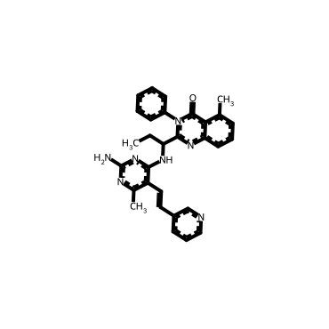 CCC(Nc1nc(N)nc(C)c1/C=C/c1cccnc1)c1nc2cccc(C)c2c(=O)n1-c1ccccc1